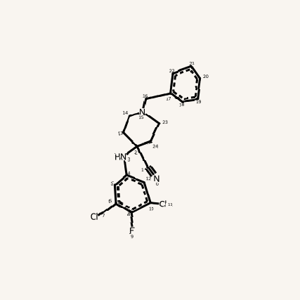 N#CC1(Nc2cc(Cl)c(F)c(Cl)c2)CCN(Cc2ccccc2)CC1